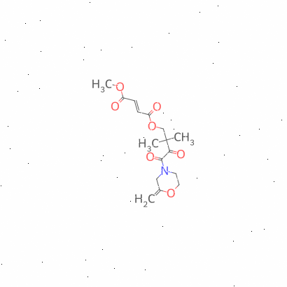 C=C1CN(C(=O)C(=O)C(C)(C)COC(=O)/C=C/C(=O)OC)CCO1